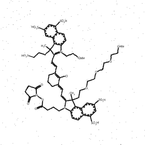 COCCOCCOCCOCCC1(C)/C(=C\C=C2/CCCC(/C=C/C3=[N+](CCOC)c4ccc5c(S(=O)(=O)O)cc(S(=O)(=O)O)cc5c4C3(C)CCCS(=O)(=O)O)=C2Cl)N(CCCC(=O)ON2C(=O)CCC2=O)c2ccc3c(S(=O)(=O)O)cc(S(=O)(=O)O)cc3c21